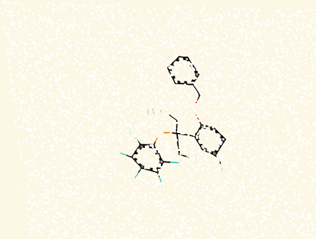 CCC(CC)(Pc1c(F)c(F)c(F)c(F)c1F)c1cc(C)ccc1OCc1ccccc1